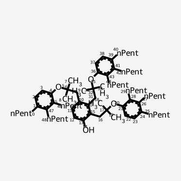 CCCCCc1ccc(OC(C)(C)Cc2ccc(O)c(CC(C)(C)Oc3ccc(CCCCC)c(CCCCC)c3CCCCC)c2CC(C)(C)Oc2ccc(CCCCC)c(CCCCC)c2CCCCC)c(CCCCC)c1CCCCC